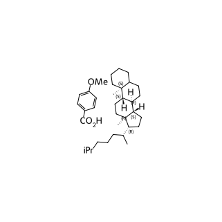 CC(C)CCCC(C)[C@H]1CC[C@H]2[C@@H]3CCC4CCCC[C@]4(C)[C@H]3CC[C@]12C.COc1ccc(C(=O)O)cc1